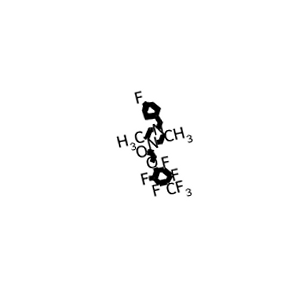 C[C@@H]1CN(Cc2ccc(F)cc2)[C@@H](C)CN1C(=O)COc1c(F)c(F)c(C(F)(F)F)c(F)c1F